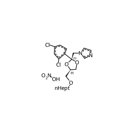 CCCCCCCOC[C@@H]1CO[C@@](Cn2ccnc2)(c2ccc(Cl)cc2Cl)O1.O=[N+]([O-])O